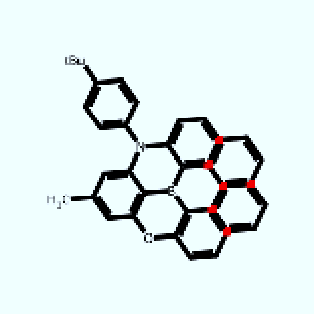 Cc1cc2c3c(c1)N(c1ccc(C(C)(C)C)cc1)c1cccc(-c4ccccc4)c1B3c1c(cccc1-c1ccccc1)O2